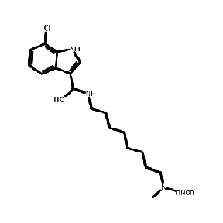 CCCCCCCCCN(C)CCCCCCCCNC(O)c1c[nH]c2c(Cl)cccc12